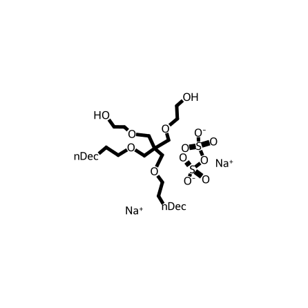 CCCCCCCCCCCCOCC(COCCO)(COCCO)COCCCCCCCCCCCC.O=S(=O)([O-])OS(=O)(=O)[O-].[Na+].[Na+]